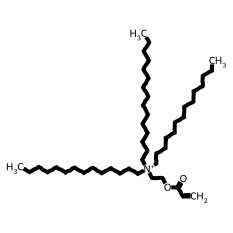 C=CC(=O)OCC[N+](CCCCCCCCCCCCCC)(CCCCCCCCCCCCCC)CCCCCCCCCCCCCCC